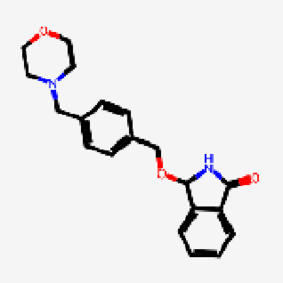 O=C1NC(OCc2ccc(CN3CCOCC3)cc2)c2ccccc21